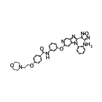 Nc1nonc1-c1nc2cnc(Oc3cccc(NC(=O)c4ccc(OCCN5CCOCC5)cc4)c3)cc2n1-c1ccccc1